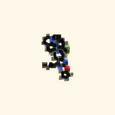 CN1CCCc2ccc([N+]3(c4ncccc4C(F)(F)F)CCc4nc(OC5CCCC5)nc([AsH2])c4CC3)cc21